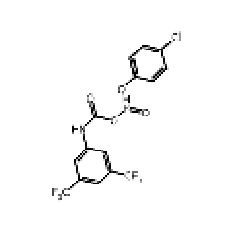 O=C(Nc1cc(C(F)(F)F)cc(C(F)(F)F)c1)O[PH](=O)Oc1ccc(Cl)cc1